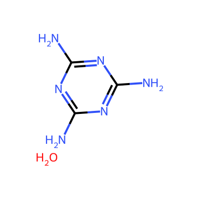 Nc1nc(N)nc(N)n1.O